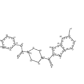 Cc1ccc2nc(C(=O)N3CCN(C(=O)Oc4cccnc4)CC3)sc2c1